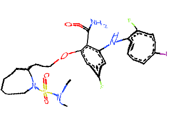 CN(C)S(=O)(=O)N1CCCCC1CCOc1cc(F)cc(Nc2ccc(I)cc2F)c1C(N)=O